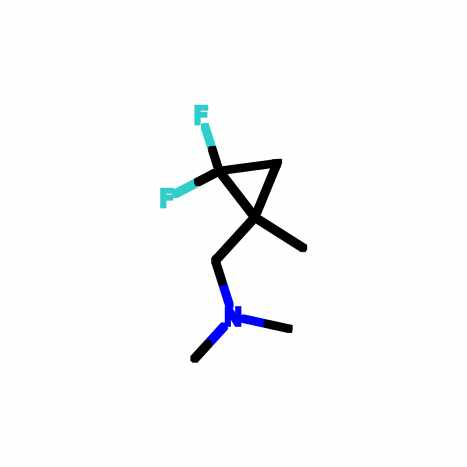 CN(C)CC1(C)CC1(F)F